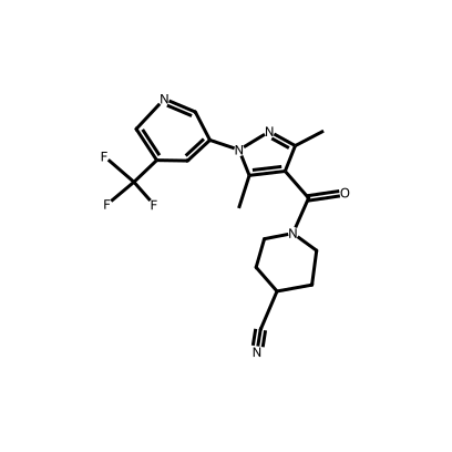 Cc1nn(-c2cncc(C(F)(F)F)c2)c(C)c1C(=O)N1CCC(C#N)CC1